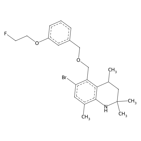 Cc1cc(Br)c(COCc2cccc(OCCF)c2)c2c1NC(C)(C)CC2C